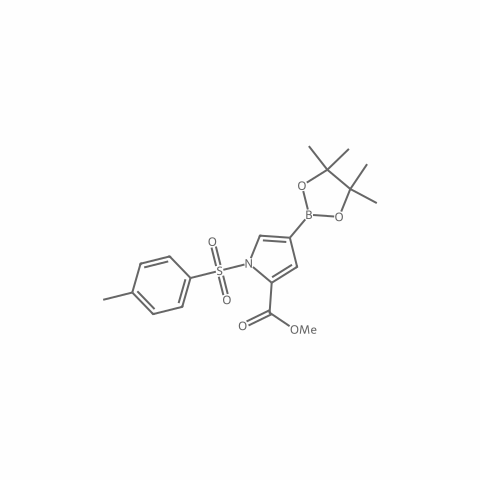 COC(=O)c1cc(B2OC(C)(C)C(C)(C)O2)cn1S(=O)(=O)c1ccc(C)cc1